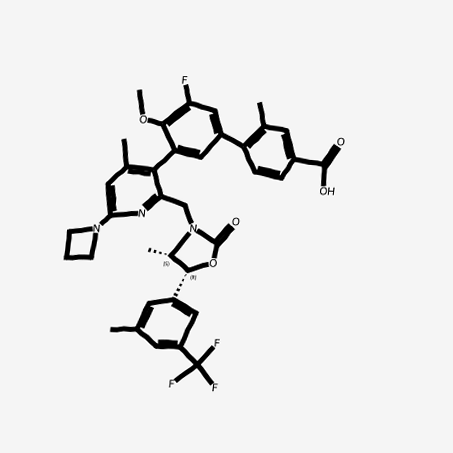 COc1c(F)cc(-c2ccc(C(=O)O)cc2C)cc1-c1c(C)cc(N2CCC2)nc1CN1C(=O)O[C@H](c2cc(C)cc(C(F)(F)F)c2)[C@@H]1C